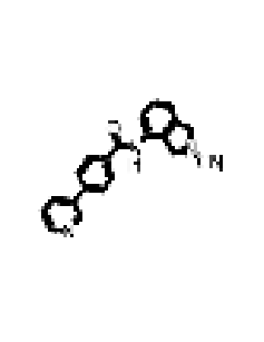 N#CN1Cc2cccc(NC(=O)c3ccc(-c4cccnc4)cc3)c2C1